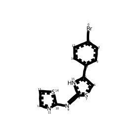 Brc1ccc(-c2csc(=Nc3nccs3)[nH]2)cc1